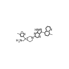 Cc1cc(C2(CN)C3CCN(c4cnc5c(-c6ccc(C)c7ncccc67)n[nH]c5n4)CC32)no1